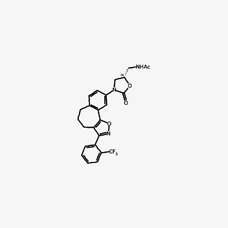 CC(=O)NC[C@H]1CN(c2ccc3c(c2)-c2onc(-c4ccccc4C(F)(F)F)c2CCC3)C(=O)O1